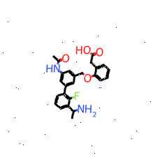 CC(=O)Nc1cc(COc2ccccc2CC(=O)O)cc(-c2cccc(C(C)N)c2F)c1